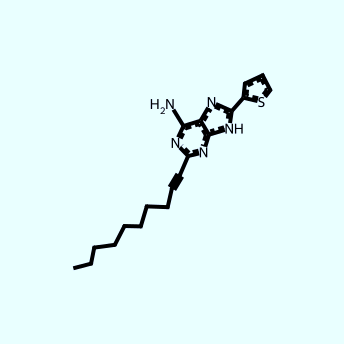 CCCCCCCCC#Cc1nc(N)c2nc(-c3cccs3)[nH]c2n1